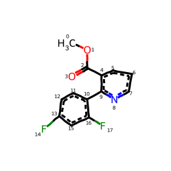 COC(=O)c1cccnc1-c1ccc(F)cc1F